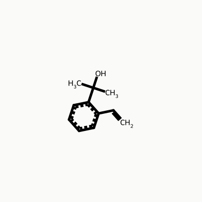 C=Cc1ccccc1C(C)(C)O